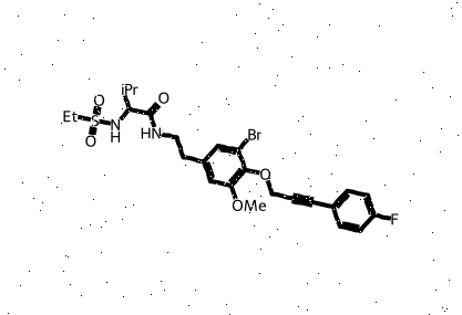 CCS(=O)(=O)NC(C(=O)NCCc1cc(Br)c(OCC#Cc2ccc(F)cc2)c(OC)c1)C(C)C